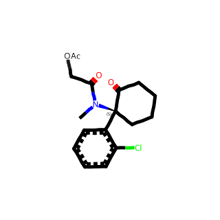 CC(=O)OCC(=O)N(C)[C@]1(c2ccccc2Cl)CCCCC1=O